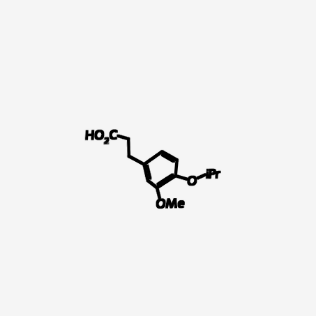 COc1cc(CCC(=O)O)ccc1OC(C)C